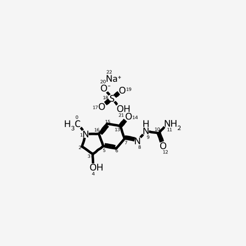 CN1CC(O)C2=C/C(=N/NC(N)=O)C(=O)C=C21.O=S(=O)([O-])O.[Na+]